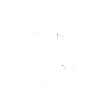 Cc1cc2cc(C(c3cccc(Cl)c3)N3C=NCC3)ccc2[nH]c1=O